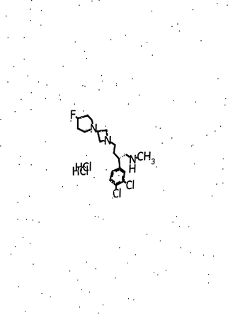 CNC[C@@H](CCN1CC(N2CCC(F)CC2)C1)c1ccc(Cl)c(Cl)c1.Cl.Cl